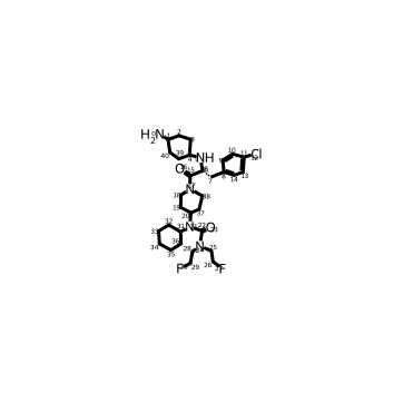 NC1CCC(N[C@H](Cc2ccc(Cl)cc2)C(=O)N2CCC(N(C(=O)N(CCF)CCF)C3CCCCC3)CC2)CC1